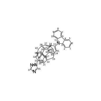 c1ccc2c(c1)c1ccccc1n2-c1ccc(-c2cc3ccc2CCc2ccc(c(-c4ccc(-n5cncn5)cc4)c2)CC3)cc1